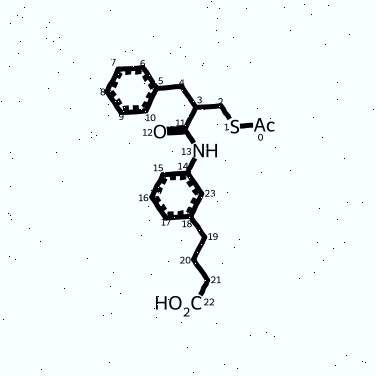 CC(=O)SCC(Cc1ccccc1)C(=O)Nc1cccc(CCCC(=O)O)c1